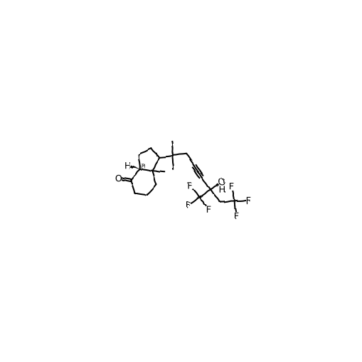 CC(C)(CC#CC(O)(CC(F)(F)F)C(F)(F)F)C1CC[C@H]2C(=O)CCCC12C